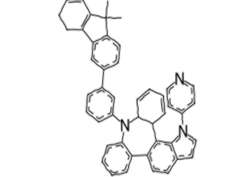 CC1(C)C2=C(CCC=C2)c2cc(-c3cccc(N4c5ccccc5-c5ccc6ccn(-c7ccncc7)c6c5C5C=CC=CC54)c3)ccc21